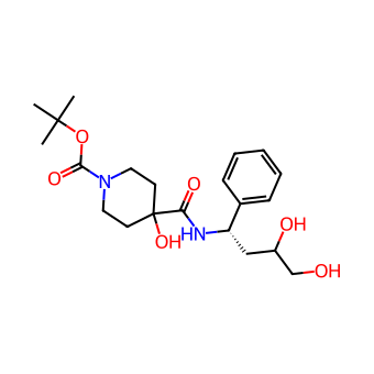 CC(C)(C)OC(=O)N1CCC(O)(C(=O)N[C@@H](CC(O)CO)c2ccccc2)CC1